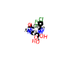 COCC1(n2cc(C[C@H]3O[C@H](CO)[C@H](O)[C@H](n4cc(-c5ccc(Cl)c(F)c5F)nn4)[C@H]3OC)nn2)COC1